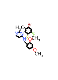 COc1ccc(CN(Sc2cc(C)c(Br)cc2F)c2ccncn2)c(OC)c1